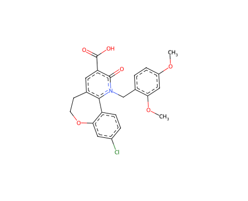 COc1ccc(Cn2c3c(cc(C(=O)O)c2=O)CCOc2cc(Cl)ccc2-3)c(OC)c1